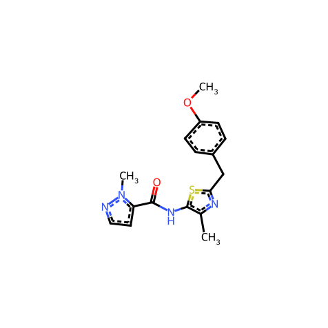 COc1ccc(Cc2nc(C)c(NC(=O)c3ccnn3C)s2)cc1